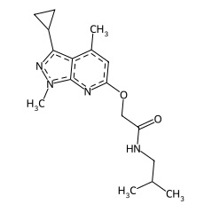 Cc1cc(OCC(=O)NCC(C)C)nc2c1c(C1CC1)nn2C